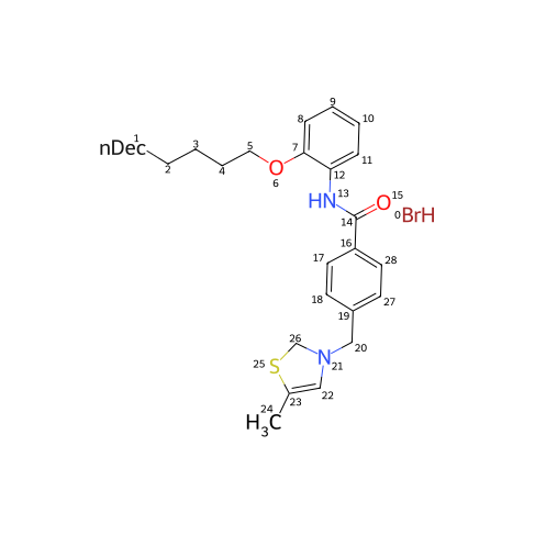 Br.CCCCCCCCCCCCCCOc1ccccc1NC(=O)c1ccc(CN2C=C(C)SC2)cc1